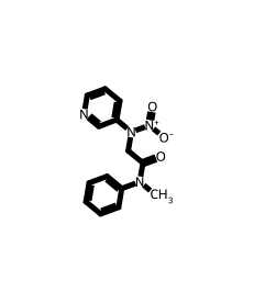 CN(C(=O)CN(c1cccnc1)[N+](=O)[O-])c1ccccc1